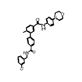 Cc1ccc(C(=O)Nc2ccc(N3CCOCC3)cc2)cc1-c1ccc(C(=O)NCc2cccc(Cl)c2)cc1